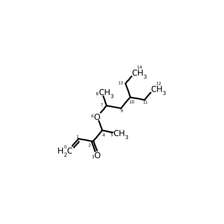 C=CC(=O)C(C)OC(C)CC(CC)CC